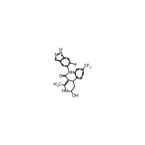 CC1=C(C(=O)Nc2cc3cn[nH]c3cc2F)C(c2ccc(C(F)(F)F)cc2)CC(O)N1